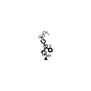 CCOC(=O)N1CCC(c2nc(-c3ccccc3F)c(-c3ccnc(NC4CC4)n3)s2)CC1